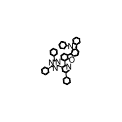 c1ccc(-c2cnc(-c3cccc4c3oc3ccc5c6ccccc6n(-c6ccccc6)c5c34)c(-c3nc(-c4ccccc4)nc(-c4ccccc4)n3)c2)cc1